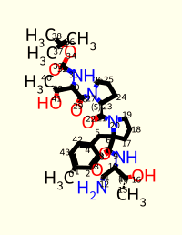 Cc1ccc(CC2(C(=O)NC(C(N)=O)[C@@H](C)O)CCCN2C(=O)[C@@H]2CCCN2C(=O)C(NC(=O)OC(C)(C)C)C(C)O)cc1